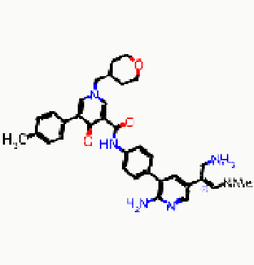 CN/C=C(\CN)c1cnc(N)c(-c2ccc(NC(=O)c3cn(CC4CCOCC4)cc(-c4ccc(C)cc4)c3=O)cc2)c1